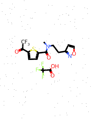 CN(CCc1ccon1)C(=O)c1ccc(C(=O)C(F)(F)F)s1.O=C(O)C(F)(F)F